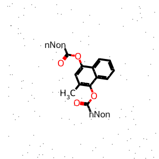 CCCCCCCCCC(=O)Oc1cc(C)c(OC(=O)CCCCCCCCC)c2ccccc12